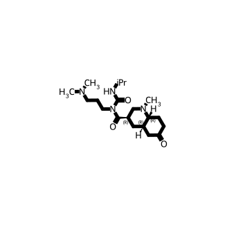 CC(C)NC(=O)N(CCCN(C)C)C(=O)[C@@H]1C[C@@H]2CC(=O)CC[C@H]2N(C)C1